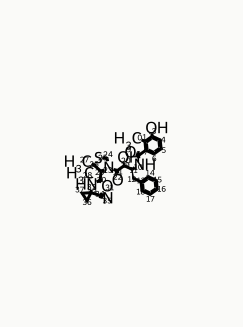 Cc1c(O)cccc1C(=O)N[C@@H](Cc1ccccc1)[C@H](O)C(=O)N1CSC(C)(C)C1C(=O)NC1(C#N)CC1